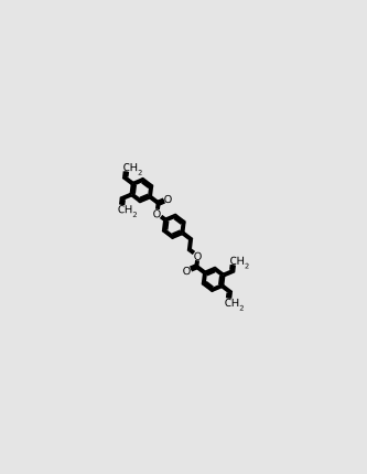 C=Cc1ccc(C(=O)OCCc2ccc(OC(=O)c3ccc(C=C)c(C=C)c3)cc2)cc1C=C